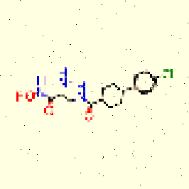 N[C@H](CNC(=O)C1CCC(c2ccc(Cl)cc2)CC1)C(=O)NO